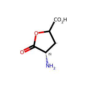 N[C@H]1[CH]C(C(=O)O)OC1=O